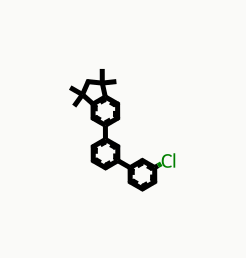 CC1(C)CC(C)(C)c2cc(-c3cccc(-c4cccc(Cl)c4)c3)ccc21